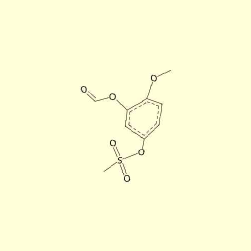 COc1ccc(OS(C)(=O)=O)cc1OC=O